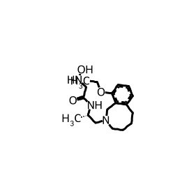 CCOc1cccc2c1CN(C[C@H](C)NC(=O)CNO)CCCC2